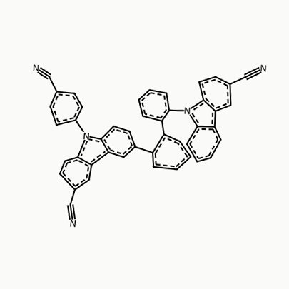 N#Cc1ccc(-n2c3ccc(C#N)cc3c3cc(-c4ccccc4-c4ccccc4-n4c5ccccc5c5cc(C#N)ccc54)ccc32)cc1